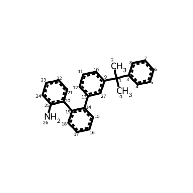 CC(C)(c1ccccc1)c1cccc(-c2ccccc2-c2ccccc2N)c1